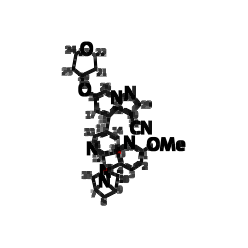 COc1ccc(CN2C3CC2CN(c2ccc(-c4cc(OC5CCOCC5)cn5ncc(C#N)c45)cn2)C3)cn1